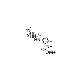 COC(=O)Nc1cc(NC(=O)NSC(=S)N(C)C)ccc1C